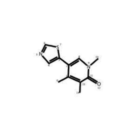 Cc1c(-c2cncs2)cn(C)c(=O)c1C